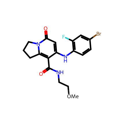 COCCNC(=O)c1c(Nc2ccc(Br)cc2F)cc(=O)n2c1CCC2